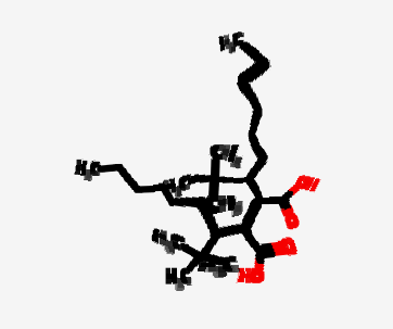 CCCCCCC(/C(C(=O)O)=C(/C(=O)O)C(CCCCCC)C(C)(C)C)C(C)(C)C